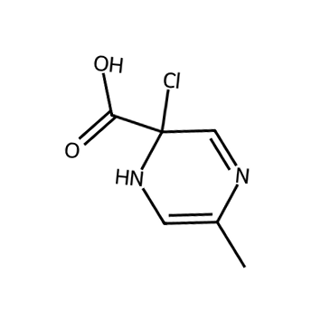 CC1=CNC(Cl)(C(=O)O)C=N1